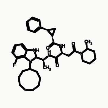 C[C@H](NC(=O)[C@H](CC(=O)N1CCCC[C@@H]1C)NC(=O)[C@H]1C[C@@H]1c1ccccc1)C1Nc2cccc(F)c2N1C1CCCCCCCC1